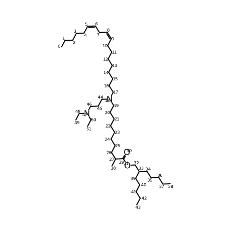 CCCCC/C=C\C/C=C\CCCCCCCCN(CCCCCCCCC(C)C(=O)OCC(CCCCC)CCCCC)CCCN(CC)CC